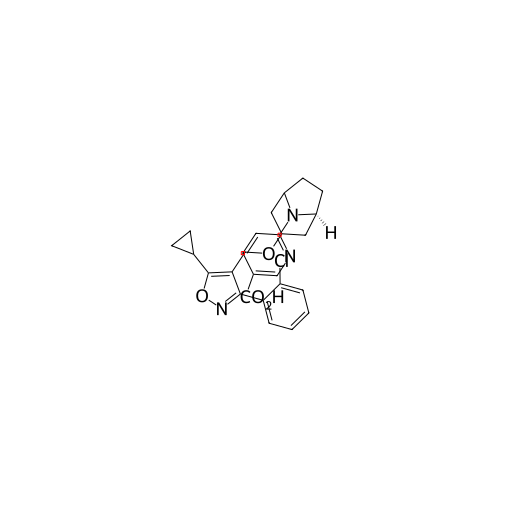 O=C(O)c1ccc(N2C3CC[C@H]2CC(OCc2c(-c4ccccc4Cl)noc2C2CC2)C3)nc1